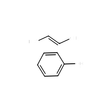 CC=CC.Oc1ccccc1